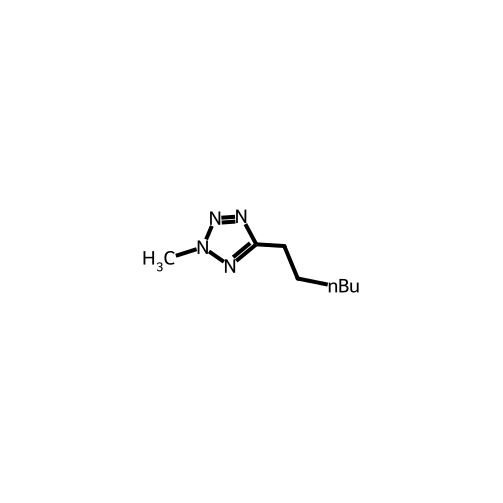 CCCCCCc1nnn(C)n1